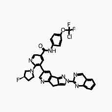 O=C(Nc1ccc(OC(F)(F)Cl)cc1)c1cnc(N2CC[C@@H](F)C2)c(-c2cnc3c(c2)-c2nn(-c4ncc5ccccc5n4)cc2C3)c1